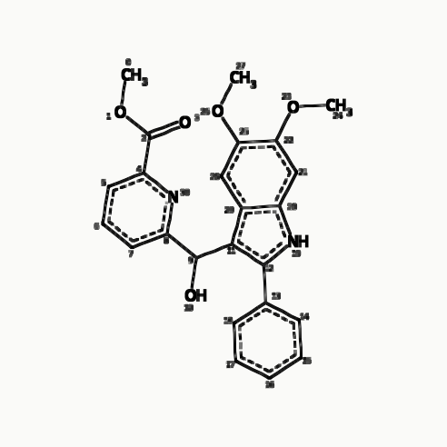 COC(=O)c1cccc(C(O)c2c(-c3ccccc3)[nH]c3cc(OC)c(OC)cc23)n1